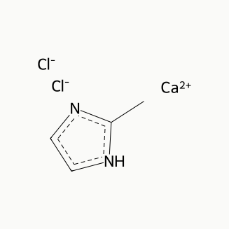 Cc1ncc[nH]1.[Ca+2].[Cl-].[Cl-]